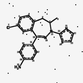 CC1Cc2ccc(Cl)cc2C(c2ccc(N)cc2)=NN1c1nccs1